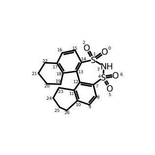 O=S1(=O)NS(=O)(=O)c2ccc3c(c2-c2c1ccc1c2CCCC1)CCCC3